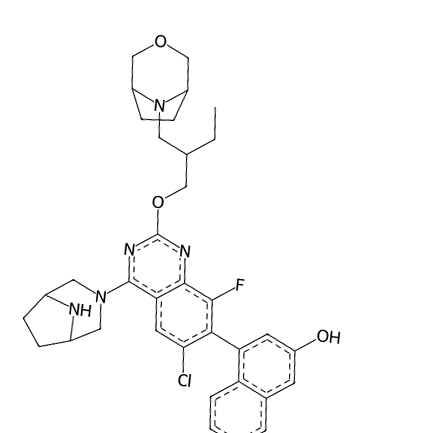 CCC(COc1nc(N2CC3CCC(C2)N3)c2cc(Cl)c(-c3cc(O)cc4ccccc34)c(F)c2n1)CN1C2CCC1COC2